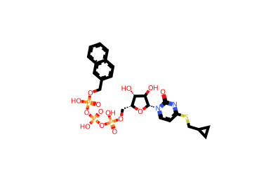 O=c1nc(SCC2CC2)ccn1[C@@H]1O[C@H](COP(=O)(O)OP(=O)(O)OP(=O)(O)OCc2ccc3ccccc3c2)[C@H](O)C1O